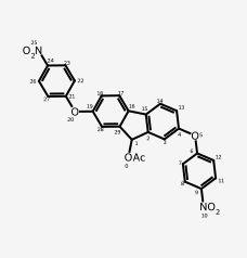 CC(=O)OC1c2cc(Oc3ccc([N+](=O)[O-])cc3)ccc2-c2ccc(Oc3ccc([N+](=O)[O-])cc3)cc21